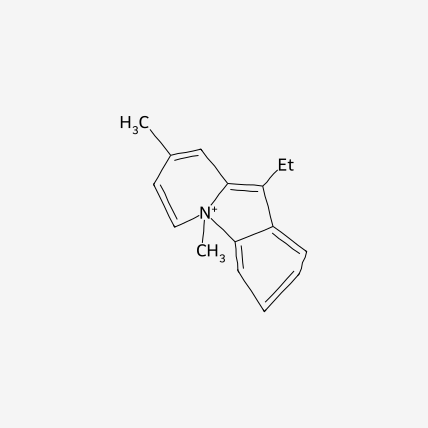 CCC1=C2C=C(C)C=C[N+]2(C)c2ccccc21